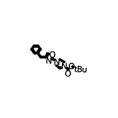 CC(C)(C)OC(=O)N1CCN(c2nc(Cc3ccccc3)co2)CC1